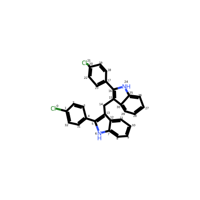 Clc1ccc(-c2[nH]c3ccccc3c2Cc2c(-c3ccc(Cl)cc3)[nH]c3ccccc23)cc1